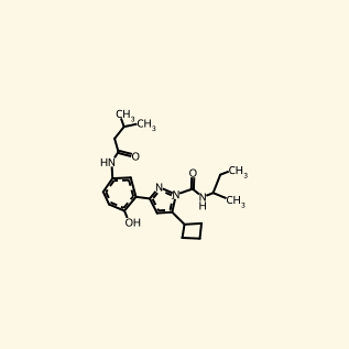 CCC(C)NC(=O)n1nc(-c2cc(NC(=O)CC(C)C)ccc2O)cc1C1CCC1